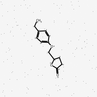 CCc1ccc(OCC2CCC(=O)O2)cc1